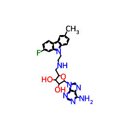 Cc1ccc2c(c1)c1ccc(F)cc1n2CCNCC1OC(n2cnc3c(N)ncnc32)C(O)C1O